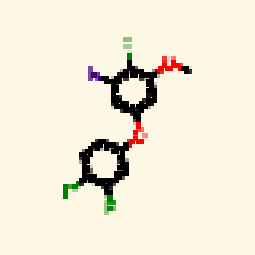 COc1cc(Oc2ccc(F)c(F)c2)cc(I)c1F